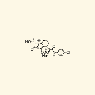 CC(O)[C@H]1C(=O)N2C(C(=O)[O-])=C3[C@@H](NC(=O)Nc4ccc(Cl)cc4)CCC[C@@H]3[C@H]12.[Na+]